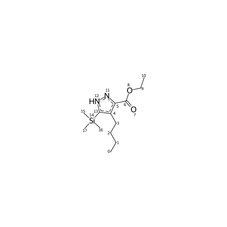 CCCCc1c(C(=O)OCC)n[nH]c1[Si](C)(C)C